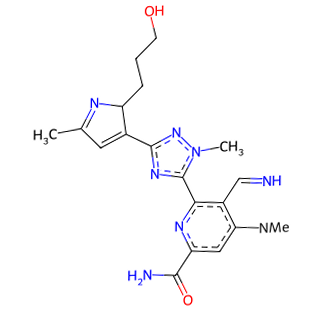 CNc1cc(C(N)=O)nc(-c2nc(C3=CC(C)=NC3CCCO)nn2C)c1C=N